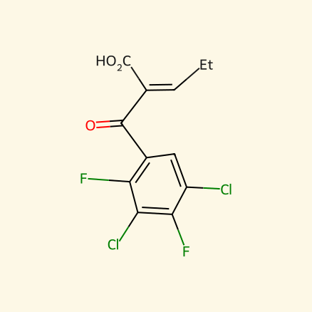 CCC=C(C(=O)O)C(=O)c1cc(Cl)c(F)c(Cl)c1F